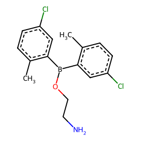 Cc1ccc(Cl)cc1B(OCCN)c1cc(Cl)ccc1C